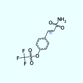 NS(=O)(=O)/C=C/c1ccc(OS(=O)(=O)C(F)(F)F)cc1